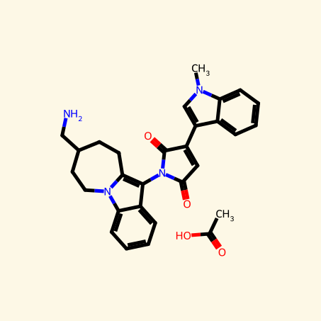 CC(=O)O.Cn1cc(C2=CC(=O)N(c3c4n(c5ccccc35)CCC(CN)CC4)C2=O)c2ccccc21